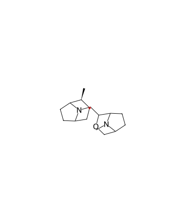 C[C@H]1CCC2CCC1N2CC1OCC2CCC1N2C